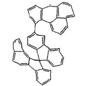 c1ccc2c(c1)-c1cc(-c3cccc4c3-c3cccc5cccc(c35)S4)ccc1C21c2ccccc2-c2ccc3ccccc3c21